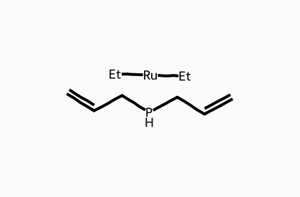 C=CCPCC=C.C[CH2][Ru][CH2]C